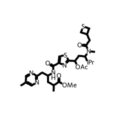 COC(=O)C(C)CC(Cc1ncc(C)cn1)NC(=O)c1csc(C(CC(C(C)C)N(C)C(=O)CC2CSC2)OC(C)=O)n1